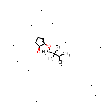 CC(C)C(C)(C)[SiH2]OC1=CCCC1=O